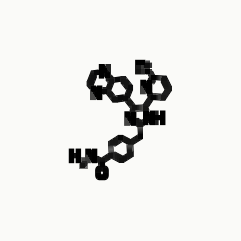 CCc1cccc(-c2[nH]c(Cc3ccc(C(N)=O)cc3)nc2-c2ccc3nccnc3c2)n1